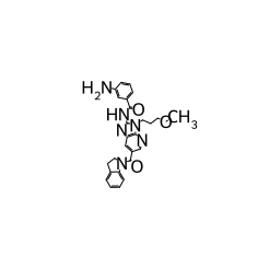 COCCCn1c(NC(=O)c2cccc(N)c2)nc2cc(C(=O)N3CCc4ccccc43)cnc21